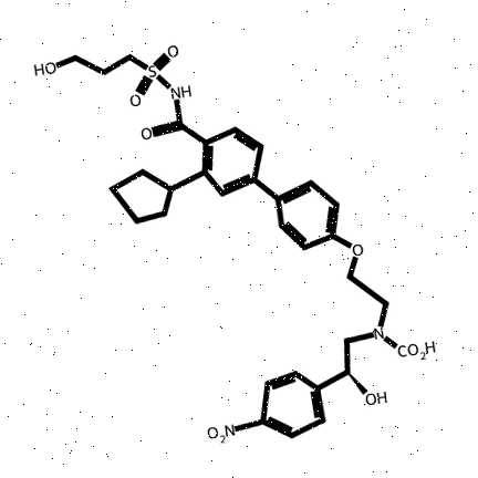 O=C(NS(=O)(=O)CCCO)c1ccc(-c2ccc(OCCN(C[C@@H](O)c3ccc([N+](=O)[O-])cc3)C(=O)O)cc2)cc1C1CCCC1